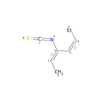 C/C=C(\C=C/CC)N=C=S